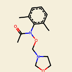 CC(=O)N(OCN1CCOC1)c1c(C)cccc1C